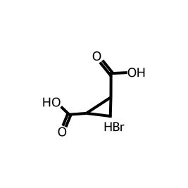 Br.O=C(O)C1CC1C(=O)O